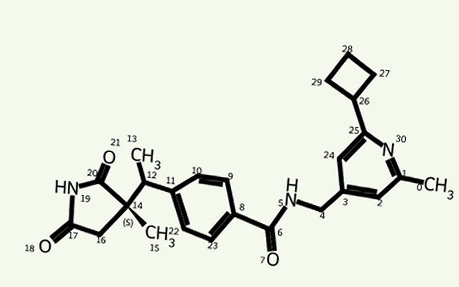 Cc1cc(CNC(=O)c2ccc(C(C)[C@]3(C)CC(=O)NC3=O)cc2)cc(C2CCC2)n1